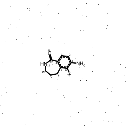 Nc1ccc2c(c1F)CCCNC2=O